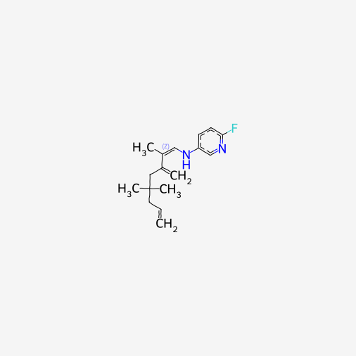 C=CCC(C)(C)CC(=C)/C(C)=C\Nc1ccc(F)nc1